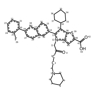 O=C(CCCN1CCCCC1)Cn1c(-c2ccc3nc(-c4ccccc4F)ccc3c2)c(C2CCCCC2)c2sc(C(=O)O)cc21